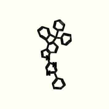 c1ccc(-c2cnc(-n3ccc4c5c(ccc43)C(c3ccccc3)(c3ccccc3)c3ccccc3-5)cn2)cc1